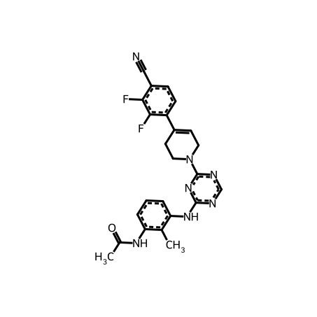 CC(=O)Nc1cccc(Nc2ncnc(N3CC=C(c4ccc(C#N)c(F)c4F)CC3)n2)c1C